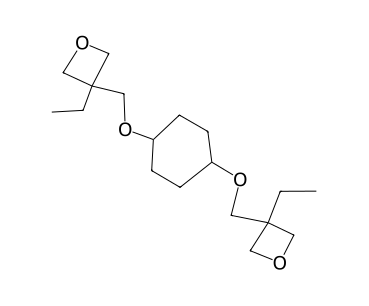 CCC1(COC2CCC(OCC3(CC)COC3)CC2)COC1